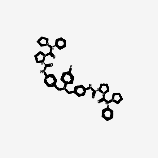 O=C(Nc1ccc(CN(Cc2ccc(NC(=O)[C@@H]3CCCN3C(=O)[C@@H](c3ccccc3)N3CCCC3)cc2)c2ccc(F)cc2)cc1)[C@@H]1CCCN1C(=O)[C@@H](c1ccccc1)N1CCCC1